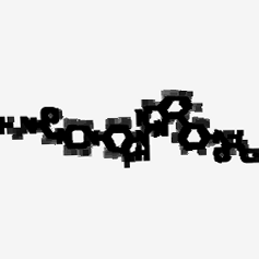 C=CC(=O)Nc1cccc(-c2cccc3cnc(Nc4ccc(N5CCN(CC(N)=O)CC5)cc4F)nc23)c1